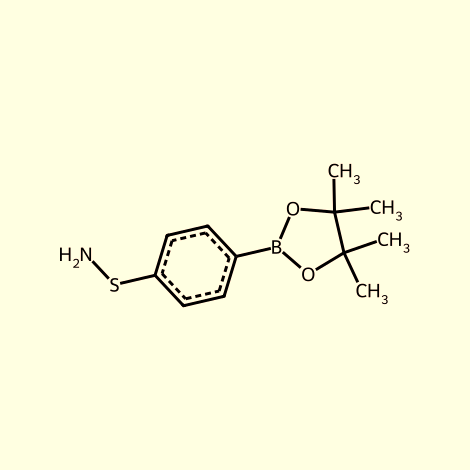 CC1(C)OB(c2ccc(SN)cc2)OC1(C)C